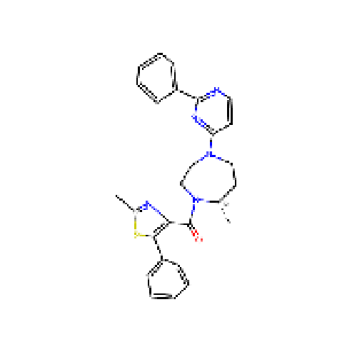 Cc1nc(C(=O)N2CCN(c3ccnc(-c4ccccc4)n3)CC[C@@H]2C)c(-c2ccccc2)s1